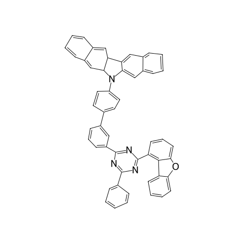 C1=c2ccccc2=CC2C1c1cc3ccccc3cc1N2c1ccc(-c2cccc(-c3nc(-c4ccccc4)nc(-c4cccc5oc6ccccc6c45)n3)c2)cc1